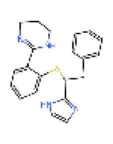 c1ccc(CC(Sc2ccccc2C2=NCCCN2)c2ncc[nH]2)cc1